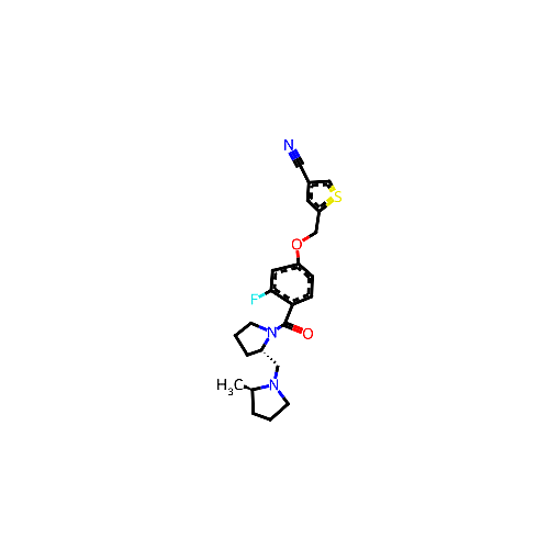 C[C@@H]1CCCN1C[C@@H]1CCCN1C(=O)c1ccc(OCc2cc(C#N)cs2)cc1F